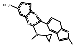 CC1=CC2=CC(c3nc4ccc(C(=O)O)cc4nc3N(C)C3CC3)=CCC2=N1